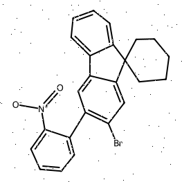 O=[N+]([O-])c1ccccc1-c1cc2c(cc1Br)C1(CCCCC1)c1ccccc1-2